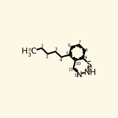 CCCCCc1cccc2c1C=NNS2